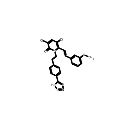 COc1cccc(/C=C/c2c(Cl)cc(Cl)c(=O)n2CCc2ccc(-c3nnn[nH]3)cc2)c1